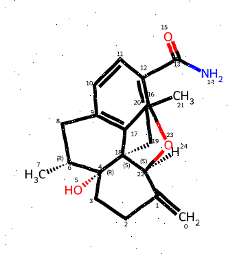 C=C1CC[C@@]2(O)[C@H](C)Cc3ccc(C(N)=O)c4c3[C@@]2(CCC)[C@H]1O4